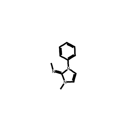 C/N=c1/n(C)ccn1-c1ccccc1